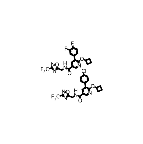 O=C(NCc1nc(C(F)(F)F)no1)c1cnc(OC2CCC2)c(-c2ccc(Cl)cc2)c1.O=C(NCc1nc(C(F)(F)F)no1)c1cnc(OC2CCC2)c(-c2ccc(F)c(F)c2)c1